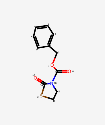 O=C(OCc1ccccc1)N1CCSC1=O